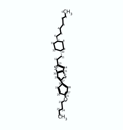 CCCCCCC[C@H]1CC[C@H](CCc2cc3sc(-c4ccc(OCCCC)cc4)cc3s2)CC1